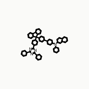 c1ccc(-c2nc(-c3ccccc3)nc(-c3ccc(C4(c5ccc(-c6ccc(N(c7ccccc7)c7ccc8ccccc8c7)cc6)cc5)c5ccccc5-c5ccccc54)cc3)n2)cc1